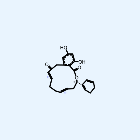 O=C1/C=C/CC/C=C/C[C@@H](C2=CCCC=C2)OC(=O)c2c(O)cc(O)cc2C1